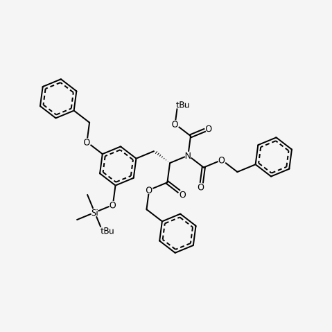 CC(C)(C)OC(=O)N(C(=O)OCc1ccccc1)[C@@H](Cc1cc(OCc2ccccc2)cc(O[Si](C)(C)C(C)(C)C)c1)C(=O)OCc1ccccc1